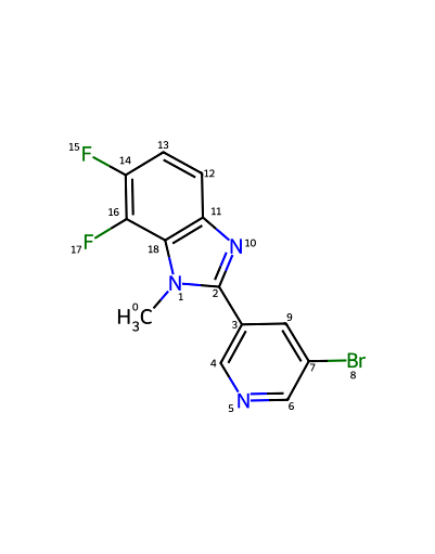 Cn1c(-c2cncc(Br)c2)nc2ccc(F)c(F)c21